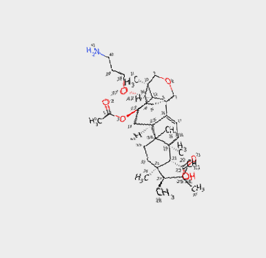 CC(=O)O[C@@H]1C[C@@]23COC[C@@](C)([C@@H]2CC[C@H]2C3=CC[C@@]3(C)[C@H](C(=O)O)[C@@](C)([C@H](C)C(C)C)CCC23C)[C@H]1OCCCN